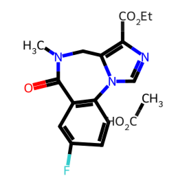 CC(=O)O.CCOC(=O)c1ncn2c1CN(C)C(=O)c1cc(F)ccc1-2